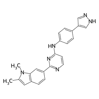 Cc1cc2ccc(-c3nccc(Nc4ccc(-c5cn[nH]c5)cc4)n3)cc2n1C